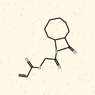 C=CC(=O)OCC(=O)N1C(=O)C2CCCCCCC21